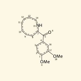 COc1ccc(C(=O)c2ccccccc[nH]2)cc1OC